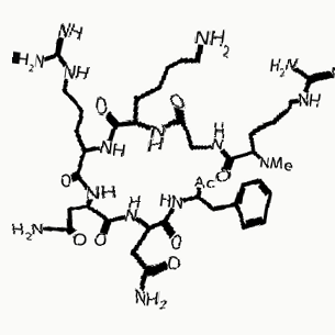 CNC(CCCNC(=N)N)C(=O)NCC(=O)NC(CCCCN)C(=O)NC(CCCNC(=N)N)C(=O)NC(CC(N)=O)C(=O)NC(CC(N)=O)C(=O)NC(Cc1ccccc1)C(C)=O